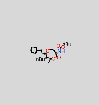 CCCC[C@H]1[C@H](C)OC(=O)[C@@H](NC(=O)OC(C)(C)C)CCO[C@@H]1CCc1ccccc1